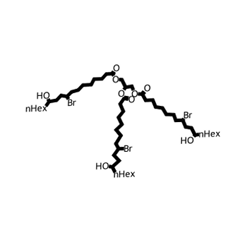 CCCCCCC(O)CCC(Br)CCCCCCCC(=O)OCC(COC(=O)CCCCCCCC(Br)CCC(O)CCCCCC)OC(=O)CCCCCCCC(Br)CCC(O)CCCCCC